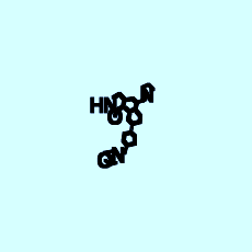 O=c1[nH]ccc2cc(CN3CCC3)c3ccc(-c4ccc(CN5CCOCC5)cc4)cc3c12